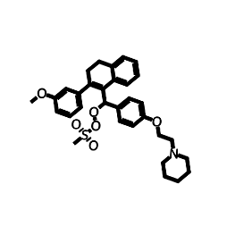 COc1cccc(C2=C(C(OOS(C)(=O)=O)c3ccc(OCCN4CCCCC4)cc3)c3ccccc3CC2)c1